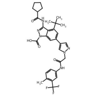 Cc1ccc(NC(=O)Cn2cc(-c3cc(C(C)(C)C)c4c(NC(=O)C5CCCC5)nn(C(=O)O)c4c3)cn2)cc1C(F)(F)F